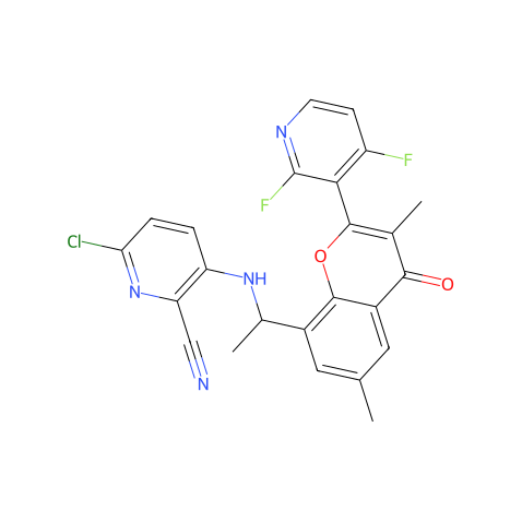 Cc1cc(C(C)Nc2ccc(Cl)nc2C#N)c2oc(-c3c(F)ccnc3F)c(C)c(=O)c2c1